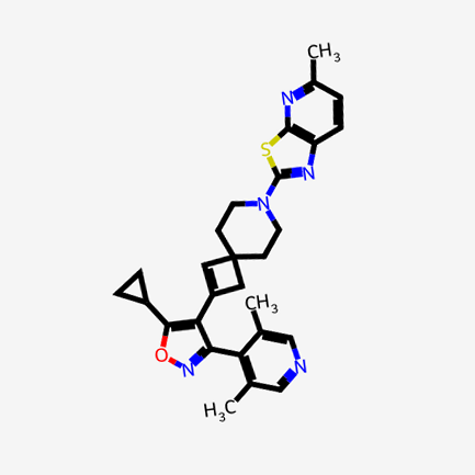 Cc1ccc2nc(N3CCC4(C=C(c5c(-c6c(C)cncc6C)noc5C5CC5)C4)CC3)sc2n1